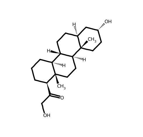 C[C@]12CC[C@@H](O)C[C@@H]1CC[C@@H]1[C@@H]2CC[C@]2(C)[C@@H](C(=O)CO)CCC[C@@H]12